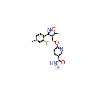 Cc1ccc(-c2noc(C)c2COc2ccc(C(=O)NC(C)C)cn2)c(F)c1